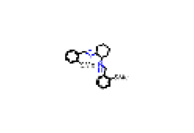 CSc1ccccc1CNC1CCCCC1NCc1ccccc1SC